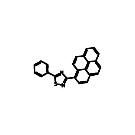 c1ccc(-c2nc(-c3ccc4ccc5cccc6ccc3c4c56)ns2)cc1